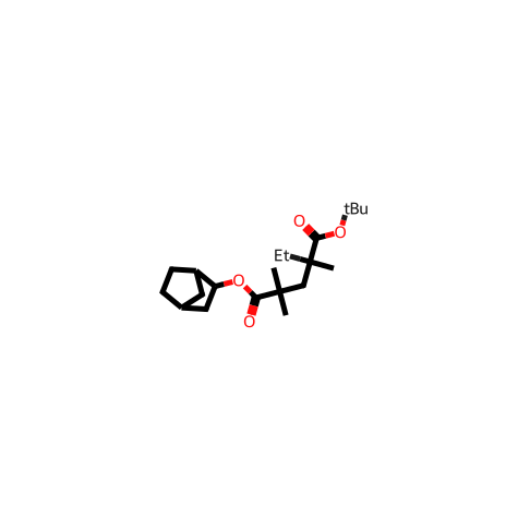 CCC(C)(CC(C)(C)C(=O)OC1CC2CCC1C2)C(=O)OC(C)(C)C